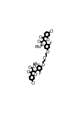 CC(C)(C)OC(=O)c1c(-c2ccc(OCCOCCOc3ccc(-c4oc5cc(Cl)ccc5c(=O)c4C(=O)OC(C)(C)C)c(F)c3)cc2F)oc2cc(Cl)ccc2c1=O